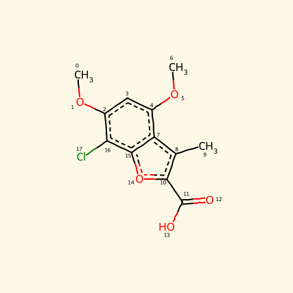 COc1cc(OC)c2c(C)c(C(=O)O)oc2c1Cl